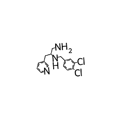 NCC(Cc1cccnc1)NCc1ccc(Cl)c(Cl)c1